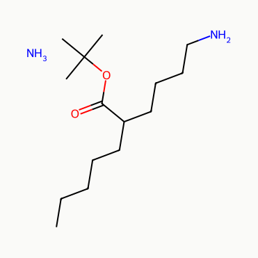 CCCCCC(CCCCN)C(=O)OC(C)(C)C.N